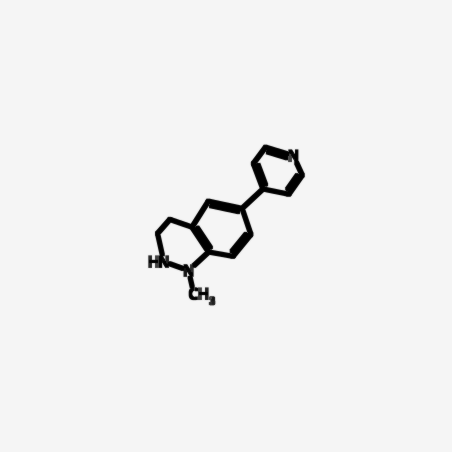 CN1NCCc2cc(-c3ccncc3)ccc21